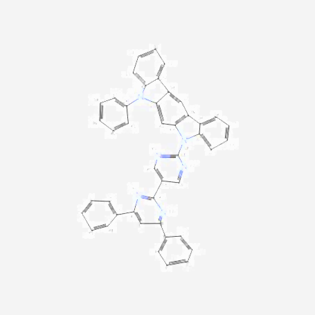 c1ccc(-c2cc(-c3ccccc3)nc(-c3cnc(-n4c5ccccc5c5cc6c7ccccc7n(-c7ccccc7)c6cc54)nc3)n2)cc1